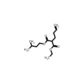 C=CCCC(C(=O)OCC)C(=O)OCCC(C)C